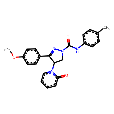 CCCOc1ccc(C2=NN(C(=O)Nc3ccc(C(F)(F)F)cc3)CC2n2ccccc2=O)cc1